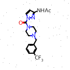 CC(=O)Nc1ccn(C(=O)N2CCN(Cc3cccc(C(F)(F)F)c3)CC2)n1